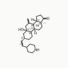 C=C1C[C@@]2(O)C[C@H](/C=C\C3CCNCC3)CC[C@]2(C)[C@H]2CC[C@]3(C)C(=O)CC[C@H]3[C@H]12